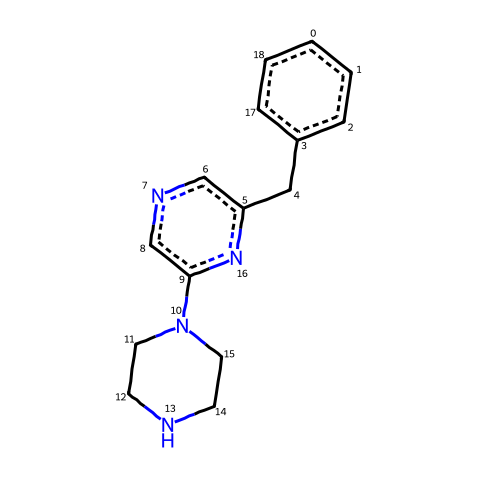 c1ccc(Cc2cncc(N3CCNCC3)n2)cc1